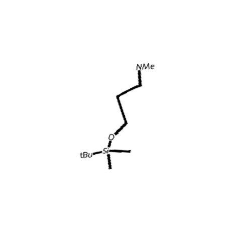 CNCCCO[Si](C)(C)C(C)(C)C